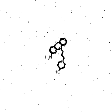 Nc1ccc2c(c1)N(CCCN1CCC(O)CC1)c1ccccc1S2